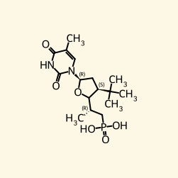 Cc1cn([C@H]2C[C@@H](C(C)(C)C)C([C@@H](C)CP(=O)(O)O)O2)c(=O)[nH]c1=O